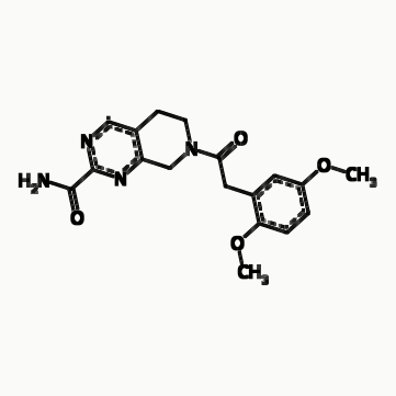 COc1ccc(OC)c(CC(=O)N2CCc3[c]nc(C(N)=O)nc3C2)c1